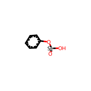 O=[Se](O)Oc1ccccc1